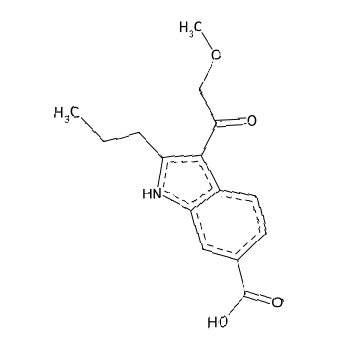 CCCc1[nH]c2cc(C(=O)O)ccc2c1C(=O)COC